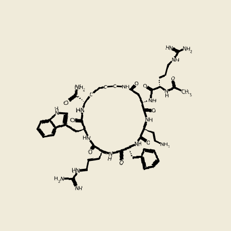 CC(=O)N[C@@H](CCCNC(=N)N)C(=O)N[C@H]1CC(=O)NCCCC[C@@H](C(N)=O)NC(=O)[C@H](Cc2c[nH]c3ccccc23)NC(=O)[C@H](CCCNC(=N)N)NC(=O)[C@@H](Cc2ccccc2)NC(=O)[C@H](CCN)NC1=O